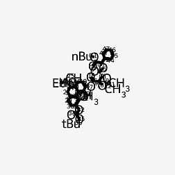 CCCCOC(=O)[C@@H](OC(=O)[C@@H]1OC(C)(C)O[C@H]1C(=O)OC1=CC[C@@]2(O)[C@H](N(C)CC)Cc3ccc(OC(=O)OC(C)(C)C)c4c3[C@@]2(C)[C@H]1O4)c1ccccc1